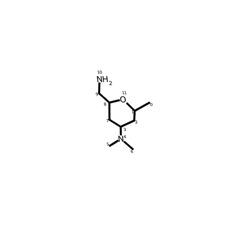 CC1CC(N(C)C)CC(CN)O1